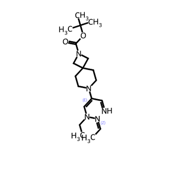 C/C=N\N(/C=C(\C=N)N1CCC2(CC1)CN(C(=O)OC(C)(C)C)C2)CC